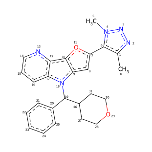 Cc1nnn(C)c1-c1cc2c(o1)c1ncccc1n2C(c1ccccc1)C1CCOCC1